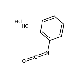 Cl.Cl.O=C=Nc1ccccc1